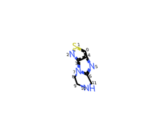 c1snc2c1nc1n2CCNC1